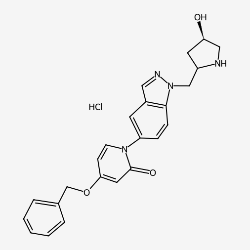 Cl.O=c1cc(OCc2ccccc2)ccn1-c1ccc2c(cnn2CC2C[C@@H](O)CN2)c1